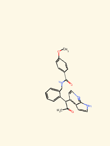 COc1ccc(C(=O)NCc2ccccc2C(C(C)=O)c2ccnc3[nH]ccc23)cc1